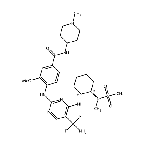 COc1cc(C(=O)NC2CCN(C)CC2)ccc1Nc1ncc(C(N)(F)F)c(N[C@@H]2CCCC[C@H]2N(C)S(C)(=O)=O)n1